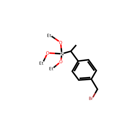 CCO[Si](OCC)(OCC)C(C)c1ccc(CBr)cc1